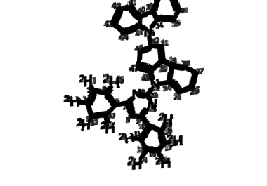 [2H]c1c([2H])c([2H])c(-c2cc(-c3c([2H])c([2H])c([2H])c([2H])c3[2H])nc(-n3c4ccccc4c4cc(-n5c6ccccc6c6ccccc65)ccc43)n2)c([2H])c1[2H]